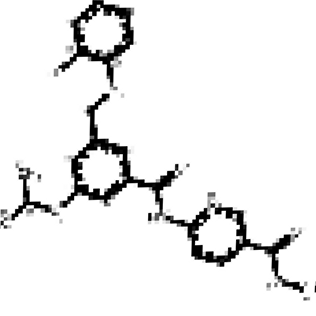 COC(=O)c1ccc(NC(=O)c2cc(COc3ccccc3F)cc(OC(C)C)c2)nc1